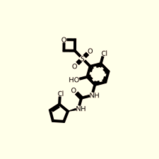 O=C(Nc1ccc(Cl)c(S(=O)(=O)C2COC2)c1O)N[C@H]1CCC=C1Cl